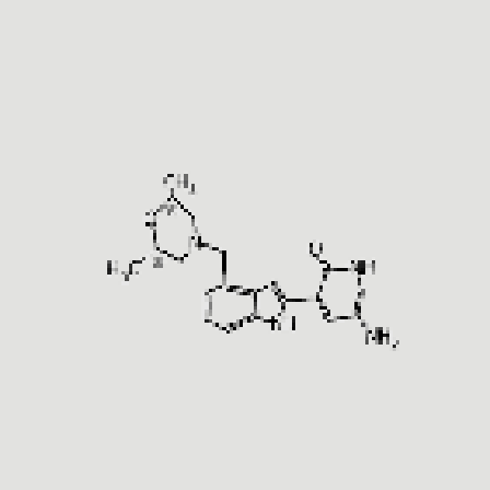 C[C@@H]1CN(Cc2cccc3[nH]c(-c4cc(N)c[nH]c4=O)cc23)C[C@H](C)O1